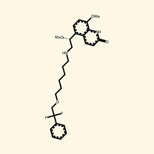 COc1ccc([C@H](CNCCCCCCOCC(F)(F)c2ccccc2)OC)c2ccc(=O)[nH]c12